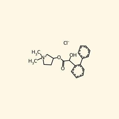 C[N+]1(C)CCC(OC(=O)C(O)c2ccccc2-c2ccccc2)C1.[Cl-]